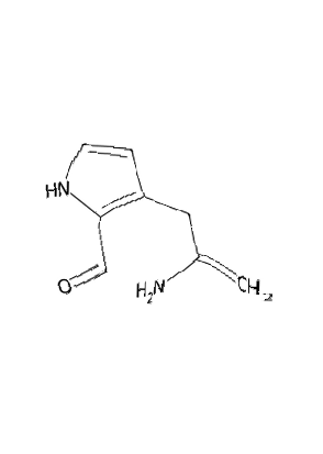 C=C(N)Cc1cc[nH]c1C=O